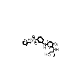 CC[C@H](CO)Nc1nc(Nc2cccc(S(=O)(=O)NCc3ccco3)c2)ncc1Br